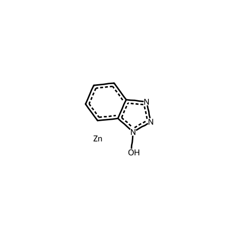 On1nnc2ccccc21.[Zn]